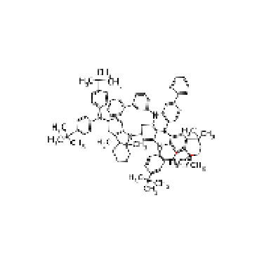 CC(C)(C)c1ccc(N(c2ccc(C(C)(C)C)cc2)c2ccc3c(c2)C2(C)CCCCC2(C)N3c2cc3c4c(c2)N(c2ccc(C(C)(C)C)cc2-c2ccccc2)c2cc5c(cc2B4c2ccc(-c4ccccc4)cc2N3c2cccc(-c3ccccc3)c2)C(C)(C)CCC5(C)C)cc1